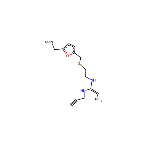 C#CCNC(=C[N+](=O)[O-])NCCSCc1ccc(CNC)o1